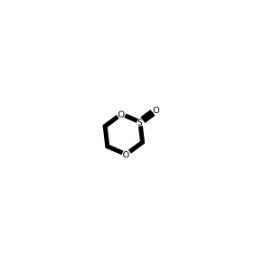 O=S1COCCO1